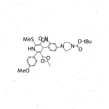 COc1ccc(C2=C(C3OC(C)O3)C(c3ccc(N4CCN(C(=O)OC(C)(C)C)CC4)cc3[N+](=O)[O-])C(C#N)=C(SC)N2)cc1